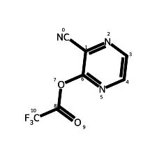 N#Cc1nccnc1OC(=O)C(F)(F)F